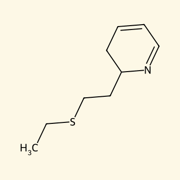 CCSCCC1CC=CC=N1